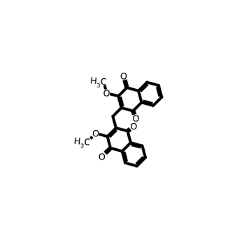 COC1=C(CC2=C(OC)C(=O)c3ccccc3C2=O)C(=O)c2ccccc2C1=O